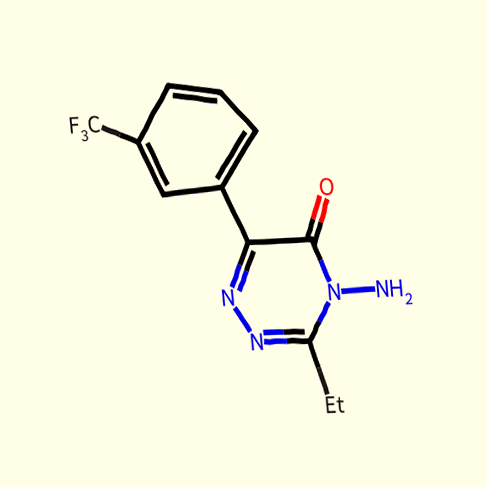 CCc1nnc(-c2cccc(C(F)(F)F)c2)c(=O)n1N